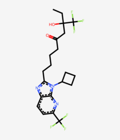 CCC(O)(CC(=O)CCCCc1nc2ccc(C(F)(F)F)nc2n1C1CCC1)C(F)(F)F